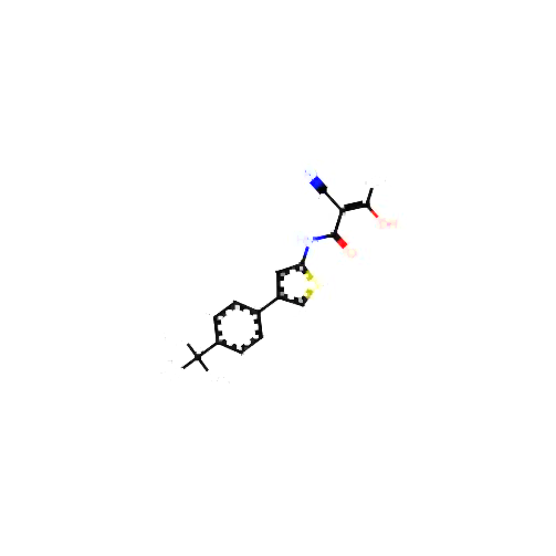 C/C(O)=C(\C#N)C(=O)Nc1cc(-c2ccc(C(C)(C)C)cc2)cs1